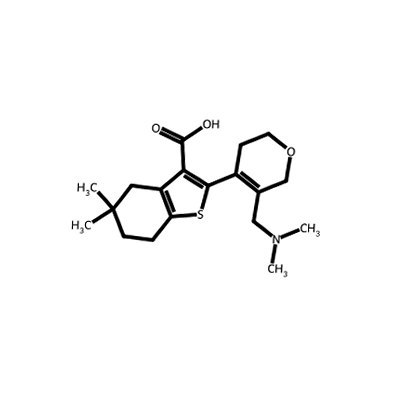 CN(C)CC1=C(c2sc3c(c2C(=O)O)CC(C)(C)CC3)CCOC1